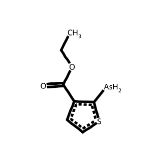 CCOC(=O)c1ccsc1[AsH2]